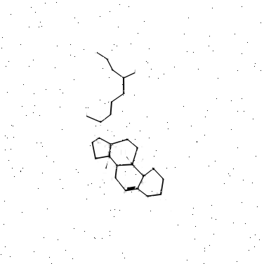 CCCC(C)CCCC(C)[C@H]1CC[C@H]2[C@@H]3CC=C4C[C@@H](O)CC[C@]4(C)[C@H]3CC[C@]12C